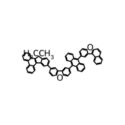 CC1(C)c2ccc(-c3ccc4oc5ccc(-c6c7ccccc7c(-c7ccc8oc9ccc%10ccccc%10c9c8c7)c7ccccc67)cc5c4c3)cc2-c2c1c1ccccc1c1ccccc21